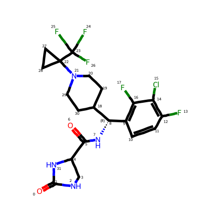 O=C1NCC(C(=O)N[C@@H](c2ccc(F)c(Cl)c2F)C2CCN(C3(C(F)(F)F)CC3)CC2)N1